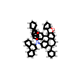 c1ccc(-c2ccc(N(c3ccc4c(c3)-c3c(cc5oc6ccccc6c5c3-c3ccc5ccccc5c3)CCC4c3ccccc3)c3cc4ccccc4c4ccccc34)cc2)cc1